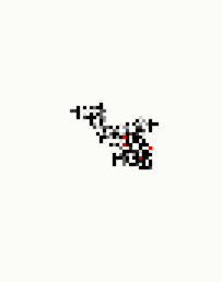 CC(C(=O)O)C1(CCOC(=O)CC(c2ccc(O)c(C(C)(C)C)c2)C(C)(C)C)C(C)(C)C(C(C)(C)C)C(O)(N2CCCCC2)C(C(C)(C)C)C1(C)C